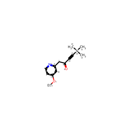 CCOc1ccnc(CC(=O)C#C[Si](C)(C)C)c1